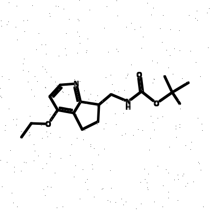 CCOc1ccnc2c1CCC2CNC(=O)OC(C)(C)C